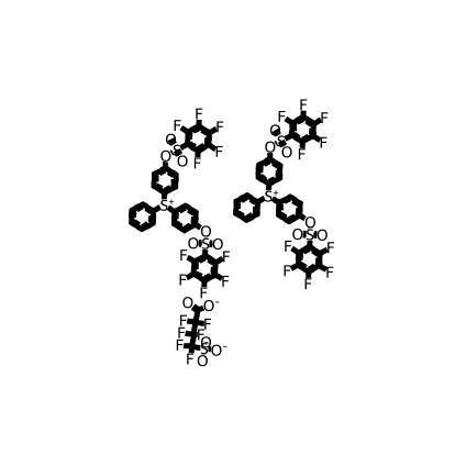 O=C([O-])C(F)(F)C(F)(F)C(F)(F)S(=O)(=O)[O-].O=S(=O)(Oc1ccc([S+](c2ccccc2)c2ccc(OS(=O)(=O)c3c(F)c(F)c(F)c(F)c3F)cc2)cc1)c1c(F)c(F)c(F)c(F)c1F.O=S(=O)(Oc1ccc([S+](c2ccccc2)c2ccc(OS(=O)(=O)c3c(F)c(F)c(F)c(F)c3F)cc2)cc1)c1c(F)c(F)c(F)c(F)c1F